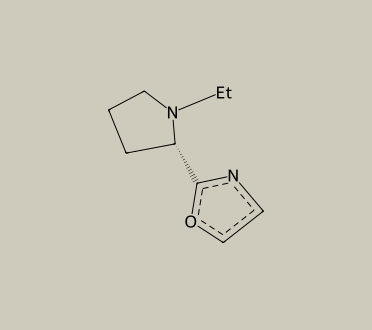 CCN1CCC[C@H]1c1ncco1